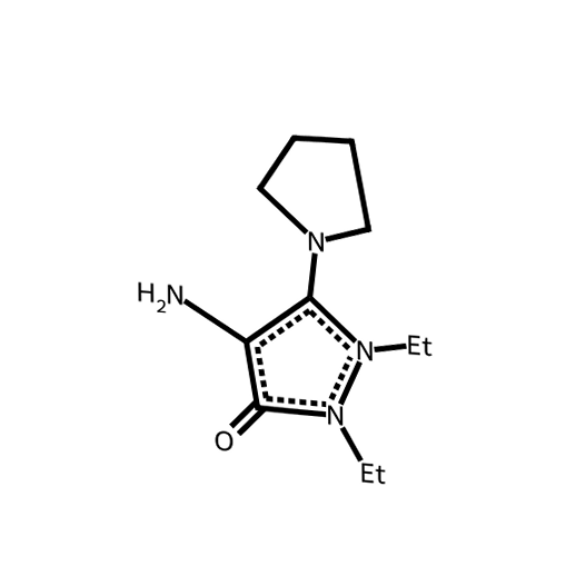 CCn1c(N2CCCC2)c(N)c(=O)n1CC